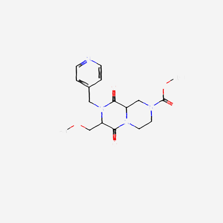 CC(C)(C)OCC1C(=O)N2CCN(C(=O)OC(C)(C)C)CC2C(=O)N1Cc1ccncc1